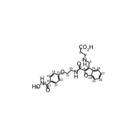 O=C(O)CCNCc1c(C(=O)NCCOc2ccc(C(=O)NO)cc2)oc2ccccc12